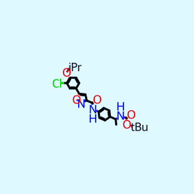 CC(C)Oc1ccc(-c2cc(C(=O)Nc3ccc(C(C)NC(=O)OC(C)(C)C)cc3)no2)cc1Cl